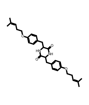 CC(C)=CCCOc1ccc(CC2NC(=O)C(Cc3ccc(OCCC=C(C)C)cc3)NC2=O)cc1